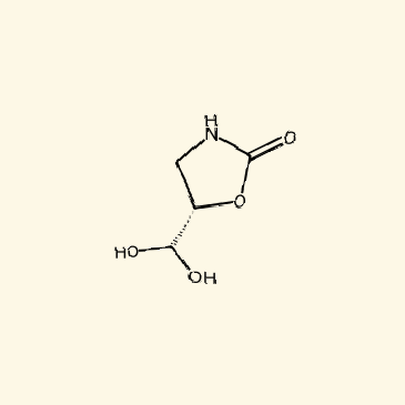 O=C1NC[C@@H](C(O)O)O1